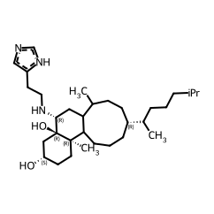 CC(C)CCCC(C)[C@@H]1CCCC2C(C[C@@H](NCCc3cnc[nH]3)[C@@]3(O)C[C@@H](O)CC[C@]23C)C(C)CC1